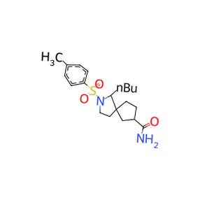 CCCCC1N(S(=O)(=O)c2ccc(C)cc2)CCC12CCC(C(N)=O)C2